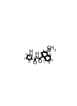 COc1ccc(C(=O)NC(=O)[C@@H]2CCCN2)c2ccccc12